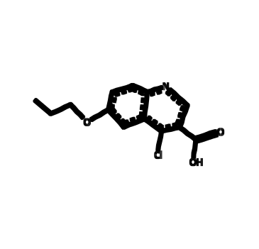 CCCOc1ccc2ncc(C(=O)O)c(Cl)c2c1